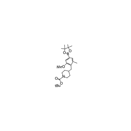 COc1cc(B2OC(C)(C)C(C)(C)O2)cc(C)c1CC1CCN(C(=O)OC(C)(C)C)CC1